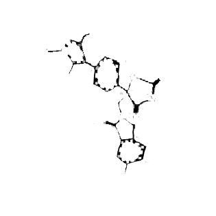 Cc1nn(C)c(C)c1-c1ccc([C@]2(CN3Cc4ccc(O)cc4C3=O)NC(=O)NC2=O)cc1